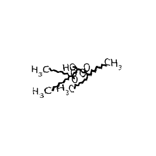 CCCCCCCCC(CCCCCCCC)C(=O)OCC(CO)COC(=O)C(CCCCCCCC)CCCCCCCC